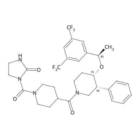 C[C@@H](O[C@H]1CCN(C(=O)C2CCN(C(=O)N3CCNC3=O)CC2)C[C@H]1c1ccccc1)c1cc(C(F)(F)F)cc(C(F)(F)F)c1